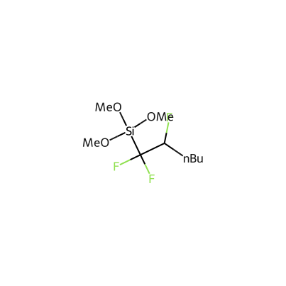 CCCCC(F)C(F)(F)[Si](OC)(OC)OC